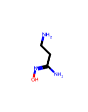 NCCC(N)=NO